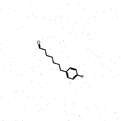 O=CCCCCCCc1ccc(F)cc1